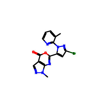 Cc1cccnc1-n1nc(Br)cc1-c1nc2c(cnn2C)c(=O)o1